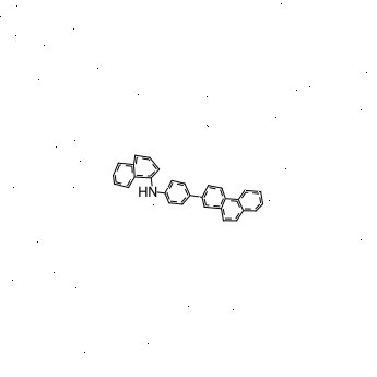 c1ccc2c(Nc3ccc(-c4ccc5c(ccc6ccccc65)c4)cc3)cccc2c1